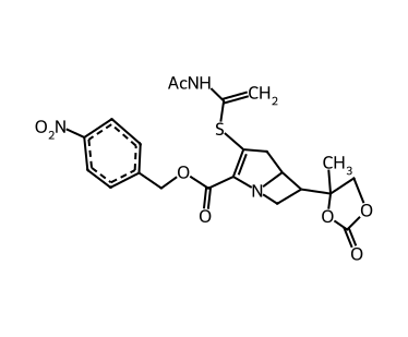 C=C(NC(C)=O)SC1=C(C(=O)OCc2ccc([N+](=O)[O-])cc2)N2CC(C3(C)COC(=O)O3)C2C1